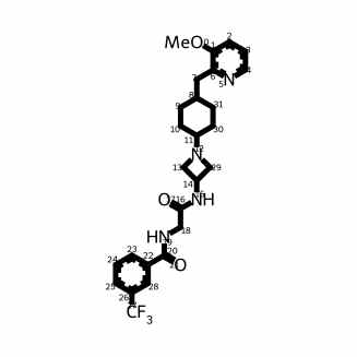 COc1cccnc1CC1CCC(N2CC(NC(=O)CNC(=O)c3cccc(C(F)(F)F)c3)C2)CC1